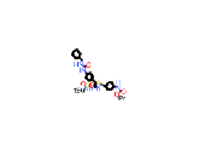 CC(C)OC(=O)Nc1ccc(-c2ncc(-c3ccc(NC(=O)NCc4ccccc4)cc3S(=O)(=O)NC(C)(C)C)s2)cc1